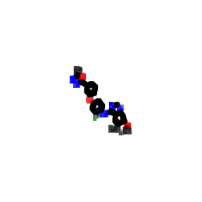 CCOc1cc2ncnc(Nc3ccc(Oc4cccc(-c5nnc(CC)o5)c4)cc3F)c2cc1[N+](=O)[O-]